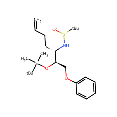 C=CCC[C@H](N[S+]([O-])C(C)(C)C)[C@@H](COc1ccccc1)O[Si](C)(C)C(C)(C)C